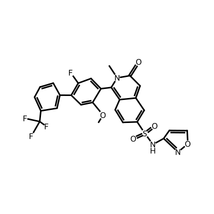 COc1cc(-c2cccc(C(F)(F)F)c2)c(F)cc1-c1c2ccc(S(=O)(=O)Nc3ccon3)cc2cc(=O)n1C